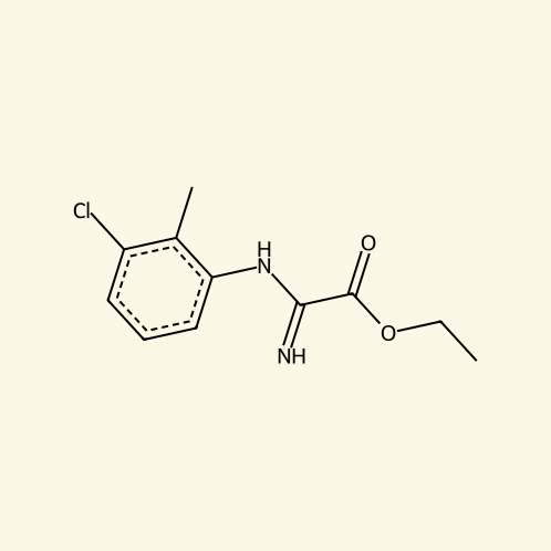 CCOC(=O)C(=N)Nc1cccc(Cl)c1C